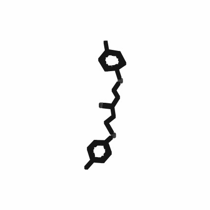 Cc1ccc(OCCC(=O)CCOc2ccc(C)cc2)cc1